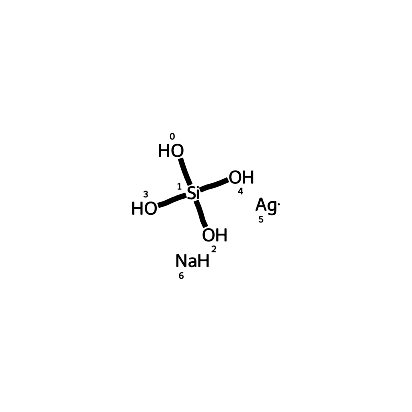 O[Si](O)(O)O.[Ag].[NaH]